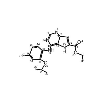 CCOC(=O)c1cc2ncnc(Nc3ccc(F)cc3OC(C)C)c2[nH]1